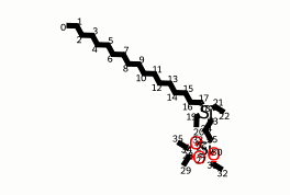 CCCCCCCCCCCCCCCCCC[Si](CC)(CC)CCC[Si](OCC)(OCC)OCC